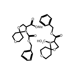 COC(=O)C1COC2(CCOCC2)N1C(=O)OCc1ccccc1.O=C(OCc1ccccc1)C1COC2(CCOCC2)N1C(=O)O